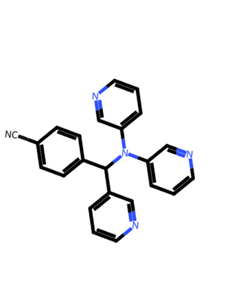 N#Cc1ccc(C(c2cccnc2)N(c2cccnc2)c2cccnc2)cc1